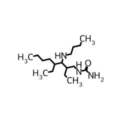 CCCCNC(C(CC)CCCC)C(CC)CNC(N)=O